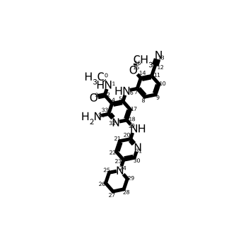 CNC(=O)c1c(Nc2cccc(C#N)c2OC)cc(Nc2ccc(N3CCCCC3)cn2)nc1N